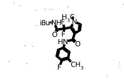 CC[C@@H](C)NC(=O)C(F)(F)c1c(C(=O)Nc2ccc(F)c(C)c2)ccn1C